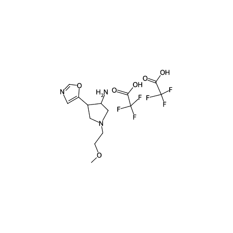 COCCN1CC(N)C(c2cnco2)C1.O=C(O)C(F)(F)F.O=C(O)C(F)(F)F